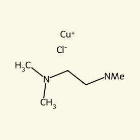 CNCCN(C)C.[Cl-].[Cu+]